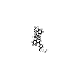 O=C(O)[C@@H]1CCN(c2ccc(NS(=O)(=O)c3cccc4c3OCCO4)c3cccnc23)C1